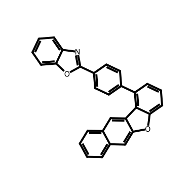 c1ccc2cc3c(cc2c1)oc1cccc(-c2ccc(-c4nc5ccccc5o4)cc2)c13